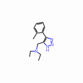 CCN(CC)Cc1[nH]nnc1-c1ccccc1C